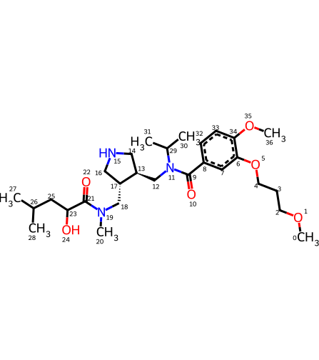 COCCCOc1cc(C(=O)N(C[C@@H]2CNC[C@H]2CN(C)C(=O)C(O)CC(C)C)C(C)C)ccc1OC